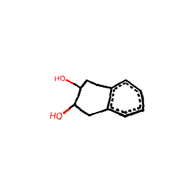 OC1Cc2ccccc2CC1O